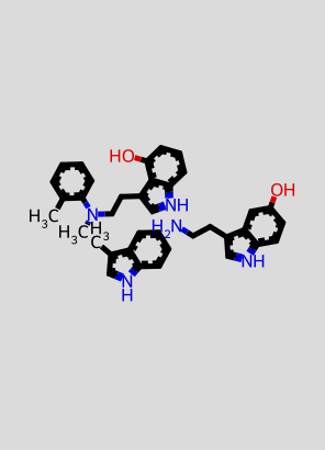 Cc1c[nH]c2ccccc12.Cc1ccccc1N(C)CCc1c[nH]c2cccc(O)c12.NCCc1c[nH]c2ccc(O)cc12